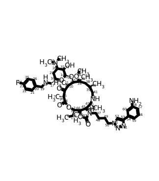 CC[C@H]1OC(=O)[C@H](C)C(=O)[C@H](C)[C@@H](O[C@@H]2O[C@H](CNCc3ccc(F)cc3)CC(N(C)C)C2O)[C@](C)(OC)C[C@@H](C)CN[C@H](C)[C@H]2N(CCCCn3cc(-c4cccc(N)c4)nn3)C(=O)O[C@]12C